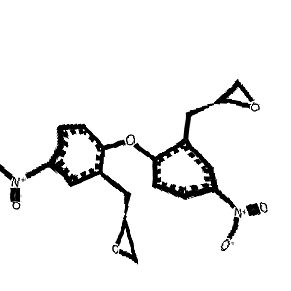 O=[N+]([O-])c1ccc(Oc2ccc([N+](=O)[O-])cc2C[C@H]2CO2)c(C[C@H]2CO2)c1